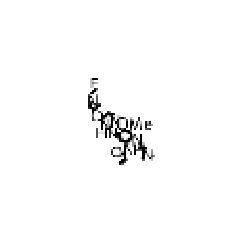 C=CC(=O)Nc1cc(Nc2nccc(OC3CN(CCF)C3)n2)c(OC)cc1N(C)CCN(C)C